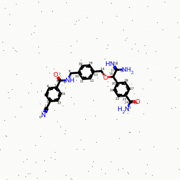 N#Cc1ccc(C(=O)NCc2ccc(COC(C(=N)N)c3ccc(C(N)=O)cc3)cc2)cc1